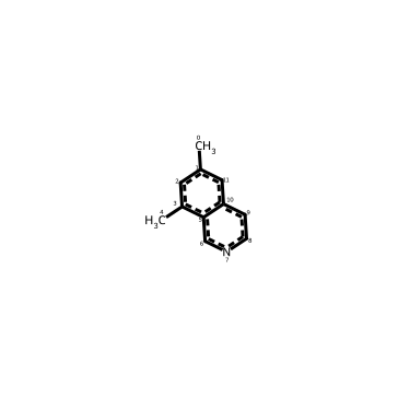 Cc1cc(C)c2cnccc2c1